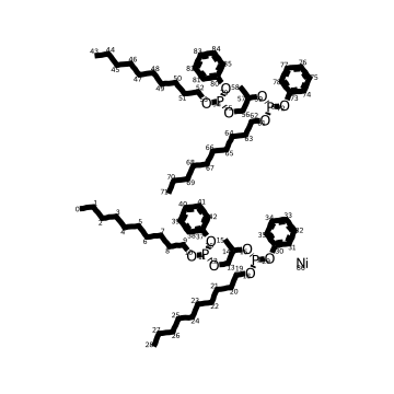 CCCCCCCCCCOP(OCC(C)OP(OCCCCCCCCCC)Oc1ccccc1)Oc1ccccc1.CCCCCCCCCCOP(OCC(C)OP(OCCCCCCCCCC)Oc1ccccc1)Oc1ccccc1.[Ni]